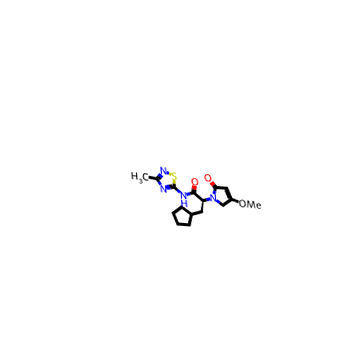 COC1=CC(=O)N([C@@H](CC2CCCC2)C(=O)Nc2nc(C)ns2)C1